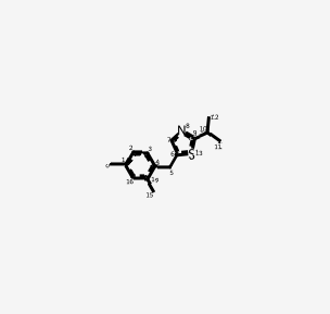 Cc1ccc(Cc2cnc(C(C)C)s2)c(C)c1